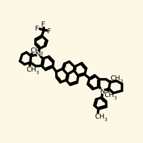 Cc1ccc(N2c3ccc(-c4ccc5c6c7c(ccc46)C=CC(c4ccc6c(c4)CC4(C)CCCCC4(C)N6c4ccc(C(F)(F)F)cc4)C7=CC5)cc3CC3(C)CCCCC23C)cc1